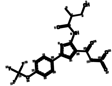 CC(CO)C(=O)Nc1sc(-c2ccc(OC(F)(F)F)cc2)cc1C(=O)N=S(=O)=O